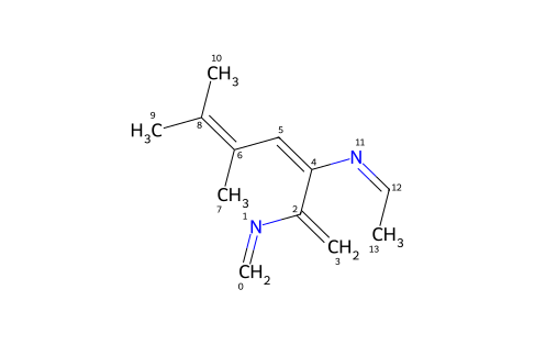 C=NC(=C)C(=C\C(C)=C(C)C)/N=C\C